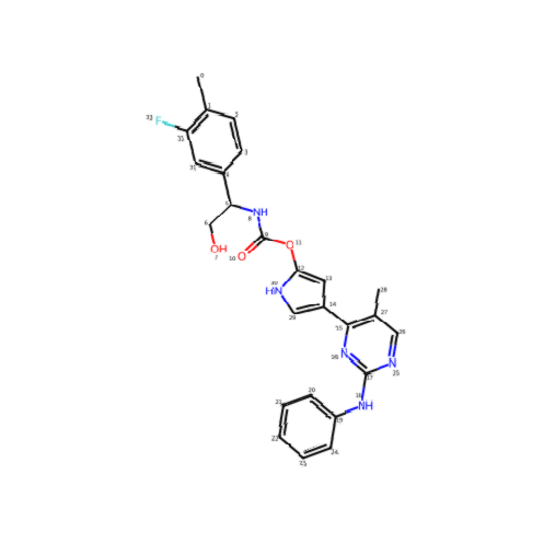 Cc1ccc(C(CO)NC(=O)Oc2cc(-c3nc(Nc4ccccc4)ncc3C)c[nH]2)cc1F